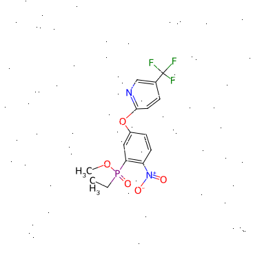 CCP(=O)(OC)c1cc(Oc2ccc(C(F)(F)F)cn2)ccc1[N+](=O)[O-]